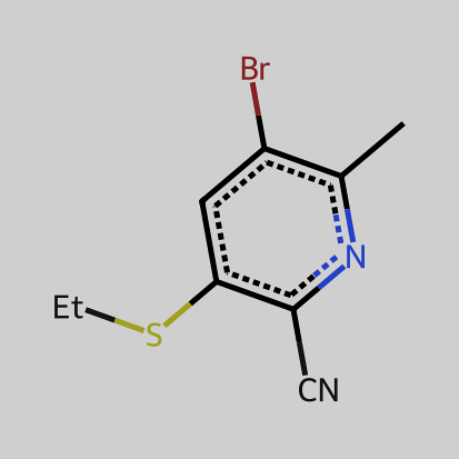 CCSc1cc(Br)c(C)nc1C#N